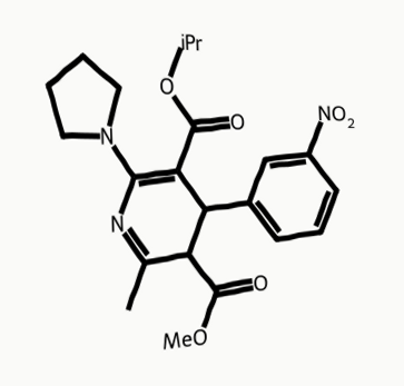 COC(=O)C1C(C)=NC(N2CCCC2)=C(C(=O)OC(C)C)C1c1cccc([N+](=O)[O-])c1